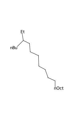 [CH2]CC(CCCC)CCCCCCCCCCCCCCC